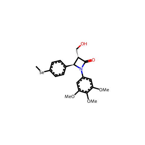 COc1cc(N2C(=O)[C@@H](CO)[C@@H]2c2ccc([Se]C)cc2)cc(OC)c1OC